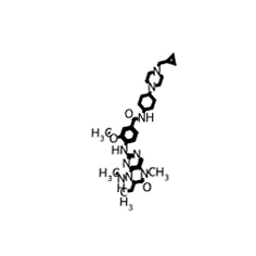 CCC1C(=O)N(C)c2cnc(Nc3ccc(C(=O)NC4CCC(N5CCN(CC6CC6)CC5)CC4)cc3OC)nc2N1NC